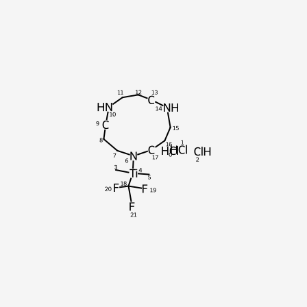 Cl.Cl.Cl.[CH3][Ti]([CH3])([N]1CCCNCCCNCCC1)[C](F)(F)F